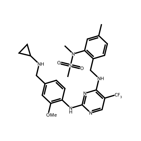 COc1cc(CNC2CC2)ccc1Nc1ncc(C(F)(F)F)c(NCc2ccc(C)cc2N(C)S(C)(=O)=O)n1